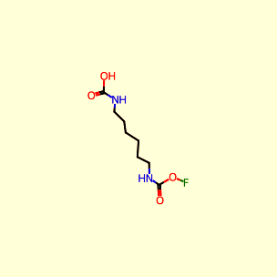 O=C(O)NCCCCCCNC(=O)OF